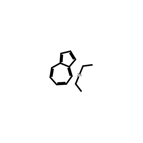 C[CH2][Zn][CH2]C.c1ccc2cccc-2cc1